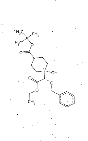 CCOC(=O)[C@@H](OCc1ccccc1)C1(O)CCN(C(=O)OC(C)(C)C)CC1